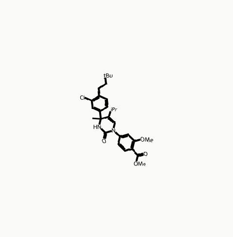 COC(=O)c1ccc(N2C=C(C(C)C)C(C)(c3ccc(CCC(C)(C)C)c(Cl)c3)NC2=O)cc1OC